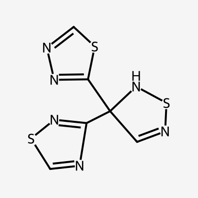 C1=NSNC1(c1ncsn1)c1nncs1